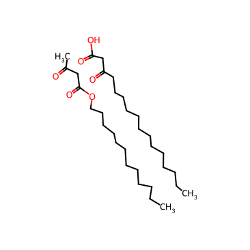 CCCCCCCCCCCCCC(=O)CC(=O)O.CCCCCCCCCCCCOC(=O)CC(C)=O